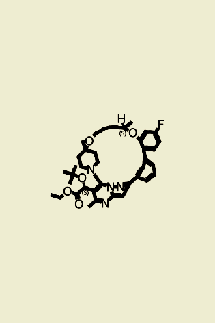 CCOC(=O)[C@@H](OC(C)(C)C)c1c(C)nc2cc3nn2c1N1CCC(C)(CC1)OCCC[C@H](C)Oc1cc(F)ccc1-c1cccc-3c1